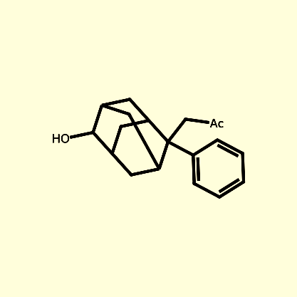 CC(=O)CC1(c2ccccc2)C2CC3CC1CC(C2)C3O